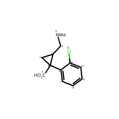 CNCC1CC1(C(=O)O)c1ccccc1Cl